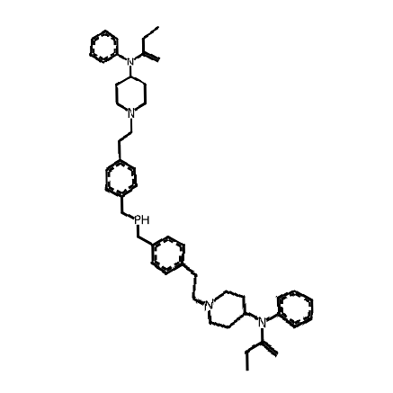 C=C(CC)N(c1ccccc1)C1CCN(CCc2ccc(CPCc3ccc(CCN4CCC(N(C(=C)CC)c5ccccc5)CC4)cc3)cc2)CC1